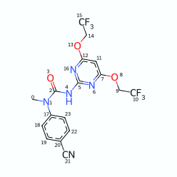 CN(C(=O)Nc1nc(OCC(F)(F)F)cc(OCC(F)(F)F)n1)c1ccc(C#N)cc1